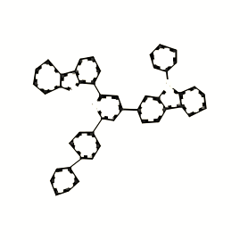 c1ccc(-c2ccc(-c3cc(-c4ccc5c6ccccc6n(-c6ccccc6)c5c4)cc(-c4cccc5c4sc4ccccc45)n3)cc2)cc1